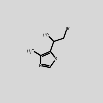 Cc1ncsc1C(O)CBr